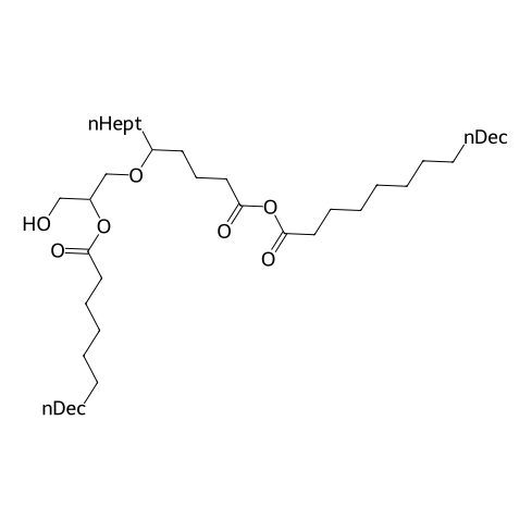 CCCCCCCCCCCCCCCCCC(=O)OC(=O)CCCC(CCCCCCC)OCC(CO)OC(=O)CCCCCCCCCCCCCCC